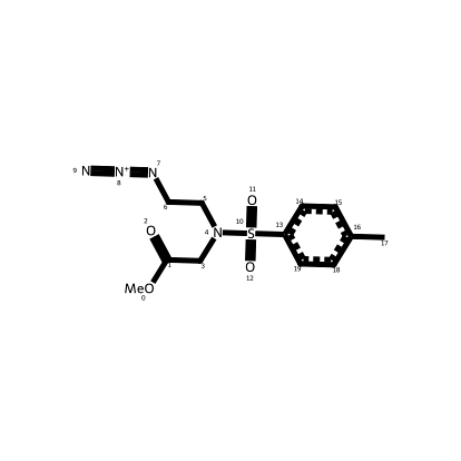 COC(=O)CN(CCN=[N+]=[N-])S(=O)(=O)c1ccc(C)cc1